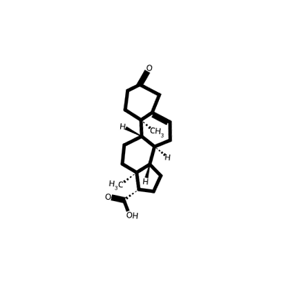 C[C@]12CC[C@H]3[C@@H](CC=C4CC(=O)CC[C@@]43C)[C@@H]1CC[C@@H]2C(=O)O